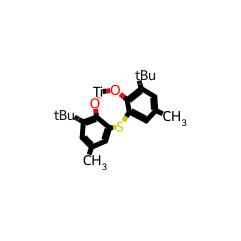 Cc1cc2c(c(C(C)(C)C)c1)[O][Ti][O]c1c(cc(C)cc1C(C)(C)C)S2